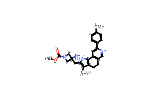 COc1ccc(-c2cc3c(cn2)CCc2c-3[nH]c(CC3(N)CN(C(=O)OC(C)(C)C)C3)c2C(=O)O)cc1